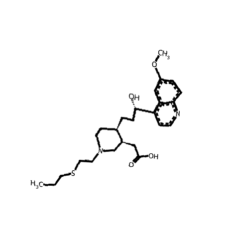 CCCSCCN1CC[C@@H](CC[C@H](O)c2ccnc3ccc(OC)cc23)[C@@H](CC(=O)O)C1